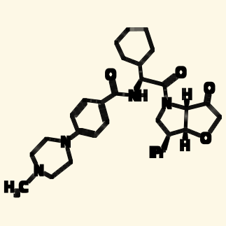 CC(C)[C@H]1CN(C(=O)[C@@H](NC(=O)c2ccc(N3CCN(C)CC3)cc2)C2CCCCC2)[C@@H]2C(=O)CO[C@H]12